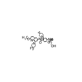 COc1ccc2cc(NC(=O)c3ccc(NS(=O)(=O)CCO)cc3N3CCC4(CC3)CC4)cc(N3CCC(F)(F)CC3)c2n1